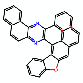 c1ccc(-c2nc3c(ccc4ccccc43)nc2-c2c3ccccc3cc3oc4ccccc4c23)cc1